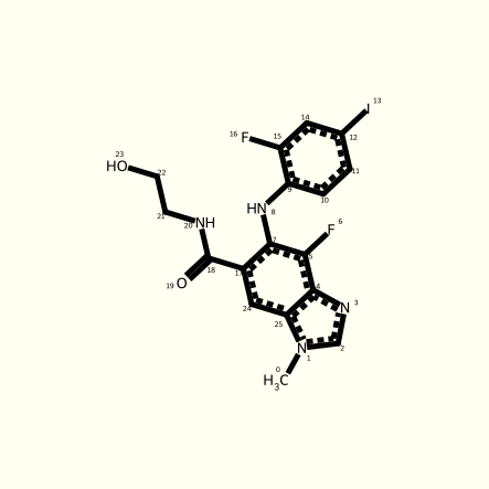 Cn1cnc2c(F)c(Nc3ccc(I)cc3F)c(C(=O)NCCO)cc21